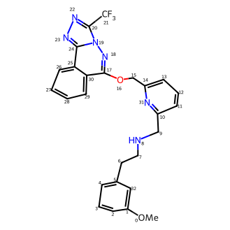 COc1cccc(CCNCc2cccc(COc3nn4c(C(F)(F)F)nnc4c4ccccc34)n2)c1